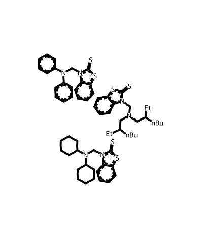 CCCCC(CC)CN(CC(CC)CCCC)Cn1c(=S)sc2ccccc21.S=c1sc2ccccc2n1CN(C1CCCCC1)C1CCCCC1.S=c1sc2ccccc2n1CN(c1ccccc1)c1ccccc1